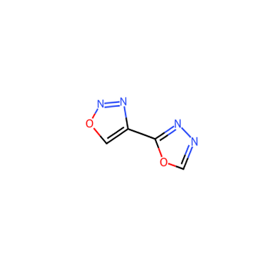 c1nnc(-c2conn2)o1